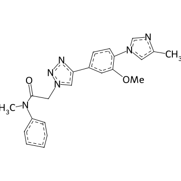 COc1cc(-c2cn(CC(=O)N(C)c3ccccc3)nn2)ccc1-n1cnc(C)c1